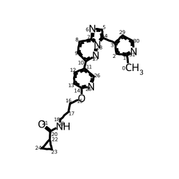 Cc1cc(-c2cnc3ccc(-c4ccc(OCCCNC(=O)C5CC5)nc4)nn23)ccn1